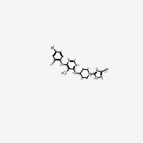 Cc1c(Oc2ccc(Br)cc2F)ncnc1OC1CCN(c2nc(C(C)C)no2)CC1